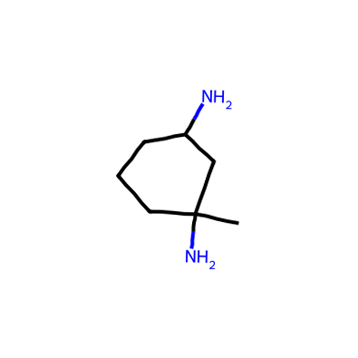 CC1(N)CCCC(N)C1